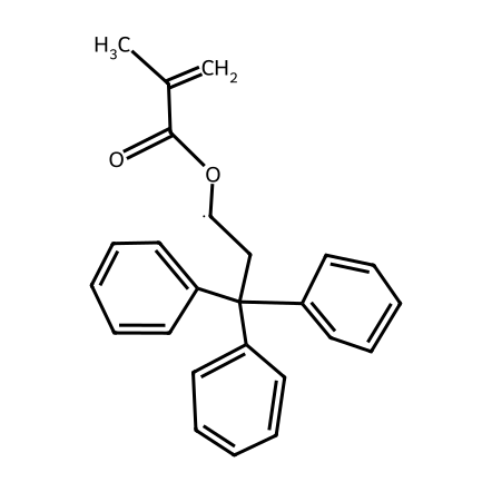 C=C(C)C(=O)O[CH]CC(c1ccccc1)(c1ccccc1)c1ccccc1